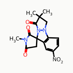 CN1C(=O)CC2(C1=O)c1cc([N+](=O)[O-])ccc1N1CC(C)(C)C(=O)N12